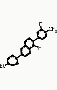 CCc1ccc(-c2ccc3c(F)c(-c4ccc(C(F)(F)F)c(F)c4)ccc3c2)cc1